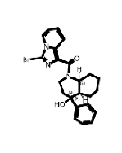 O=C(c1nc(Br)n2ccccc12)N1CC[C@@](O)(c2ccccc2)[C@@H]2CCCC[C@@H]21